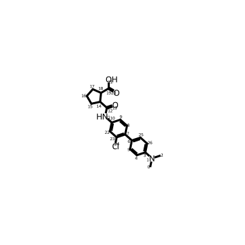 CN(C)c1ccc(-c2ccc(NC(=O)C3CCCC3C(=O)O)cc2Cl)cc1